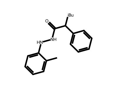 CCC(C)C(C(=O)NNc1ccccc1C)c1ccccc1